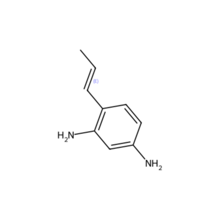 C/C=C/c1ccc(N)cc1N